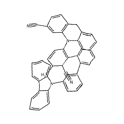 CC1C=CC(N2c3ccccc3Cc3ccc(C#N)cc32)=C(c2ccccc2-c2cccc(-n3c4ccccc4c4ccccc43)c2)C1C#N